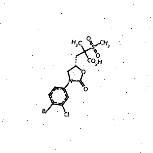 CC(C[C@H]1CN(c2ccc(Br)c(Cl)c2)C(=O)O1)(C(=O)O)S(C)(=O)=O